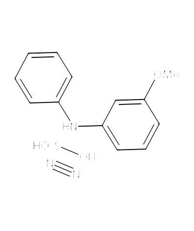 COc1cccc(Nc2ccccc2)c1.N#N.O=S(=O)(O)O